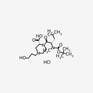 CC(C)C[C@@H](C(=O)N1CCN(CCCO)C[C@@H]1C(=O)O)N(C)C(=O)OC(C)(C)C.Cl